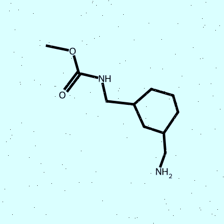 COC(=O)NCC1CCCC(CN)C1